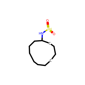 O=[SH](=O)NC1CCCCCCCCCC1